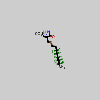 NC(=O)C(CSCCC(F)(F)C(F)(F)C(F)(F)C(F)(F)C(F)(F)C(F)(F)F)CC(=O)O